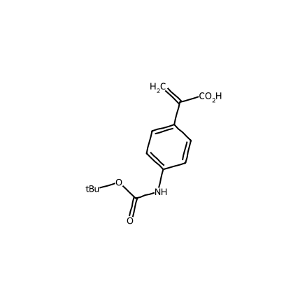 C=C(C(=O)O)c1ccc(NC(=O)OC(C)(C)C)cc1